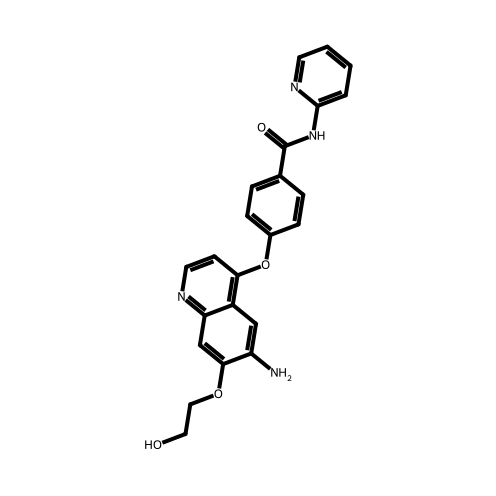 Nc1cc2c(Oc3ccc(C(=O)Nc4ccccn4)cc3)ccnc2cc1OCCO